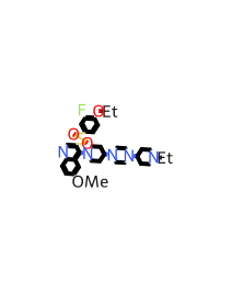 CCOc1ccc(S(=O)(=O)c2cnc3ccc(OC)cc3c2N2CCC(N3CCN(C4CCN(CC)CC4)CC3)CC2)cc1F